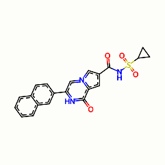 O=C(NS(=O)(=O)C1CC1)c1cc2c(=O)[nH]c(-c3ccc4ccccc4c3)cn2c1